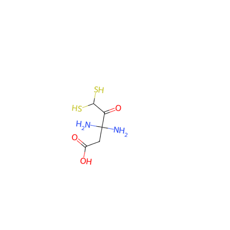 NC(N)(CC(=O)O)C(=O)C(S)S